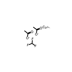 CC(=O)[O-].CC(=O)[O-].FC(F)F.[Cu+2]